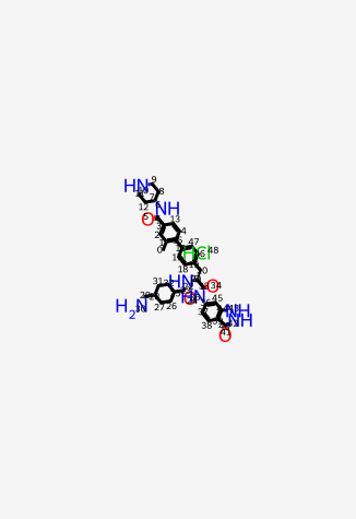 Cc1cc(C(=O)NC2CCNCC2)ccc1-c1ccc(C[C@H](NC(=O)C2CCC(CN)CC2)C(=O)Nc2ccc3c(=O)[nH][nH]c3c2)cc1.Cl